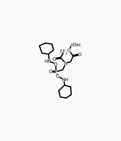 CCCCCCCCCCOC(=O)CN(CP(=O)(ONC1CCCCC1)ONC1CCCCC1)C(=O)C(F)(F)F